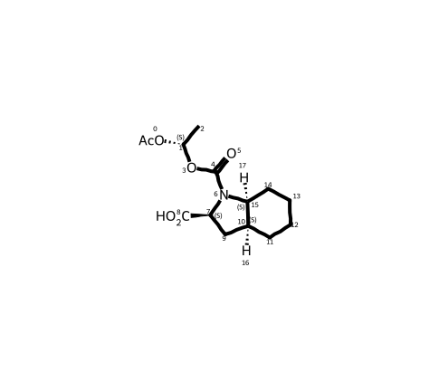 CC(=O)O[C@H](C)OC(=O)N1[C@H](C(=O)O)C[C@@H]2CCCC[C@@H]21